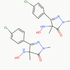 CN1N=C(c2ccc(Cl)cc2)C(C)(NO)C1=O.CN1N=C(c2ccc(Cl)cc2)C(C)(NO)C1=O